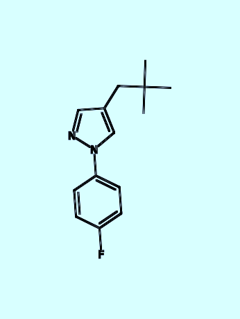 CC(C)(C)Cc1cnn(-c2ccc(F)cc2)c1